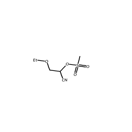 CCOCC(C#N)OS(C)(=O)=O